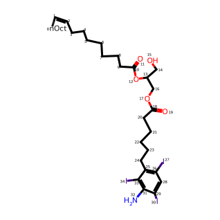 CCCCCCCC/C=C\CCCCCCCC(=O)OC(CO)COC(=O)CCCCCc1c(I)cc(I)c(N)c1I